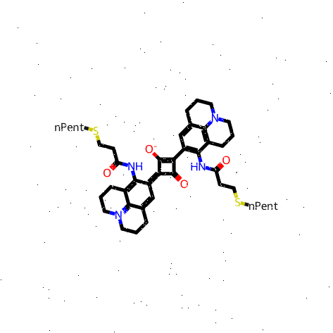 CCCCCSCCC(=O)Nc1c(C2=C([O-])/C(=c3/cc4c5c(c3NC(=O)CCSCCCCC)CCC[N+]=5CCC4)C2=O)cc2c3c1CCCN3CCC2